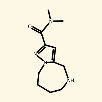 CN(C)C(=O)c1cc2n(n1)CCCCNC2